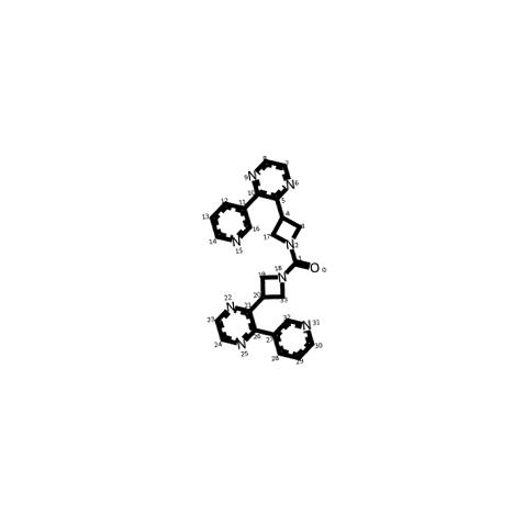 O=C(N1CC(c2nccnc2-c2cccnc2)C1)N1CC(c2nccnc2-c2cccnc2)C1